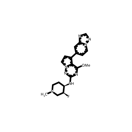 COc1nc(N[C@@H]2CCN(C)C[C@@H]2F)nn2ccc(-c3ccn4ncnc4c3)c12